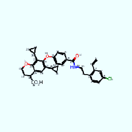 C=Cc1cc(Cl)ccc1CCNC(=O)c1ccc(Oc2c(C3CC3)cc3c(c2C2CC2)OCCC3C(=O)O)cc1